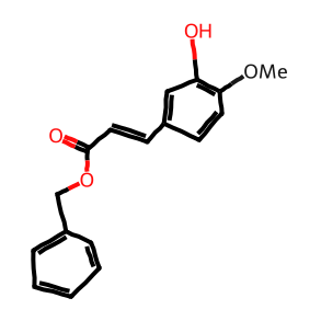 COc1ccc(C=CC(=O)OCc2ccccc2)cc1O